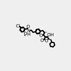 COc1ccc(Cl)cc1C(=O)NCCc1ccc(C[C@H](C)C(=O)C2=C(O)[C@@H](CC3CCCCC3)OC2=O)cc1